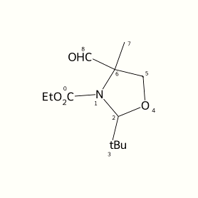 CCOC(=O)N1C(C(C)(C)C)OCC1(C)C=O